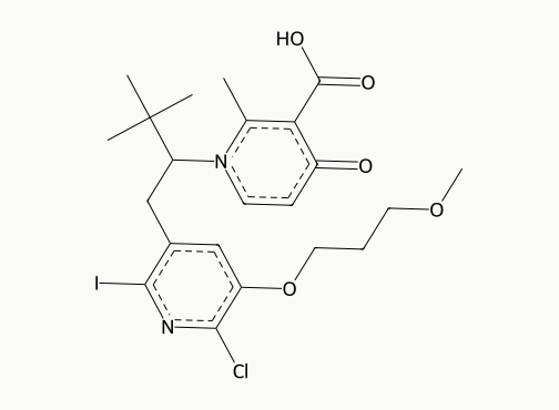 COCCCOc1cc(CC(n2ccc(=O)c(C(=O)O)c2C)C(C)(C)C)c(I)nc1Cl